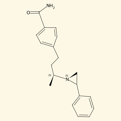 C[C@@H](CCc1ccc(C(N)=O)cc1)[N@@]1CC1c1ccccc1